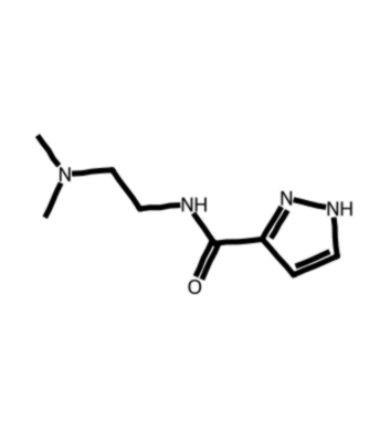 CN(C)CCNC(=O)c1cc[nH]n1